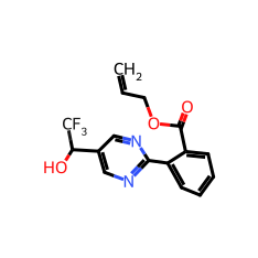 C=CCOC(=O)c1ccccc1-c1ncc(C(O)C(F)(F)F)cn1